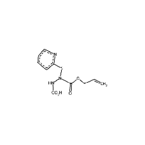 C=CCOC(=O)N(NC(=O)O)Sc1ccccn1